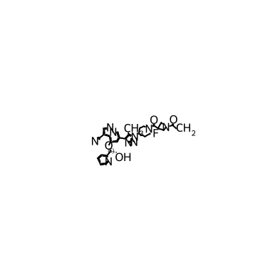 C=CC(=O)N1CC(F)(C(=O)N2CCC(n3nnc(-c4cc(O[C@H](CO)c5ccccn5)c5c(C#N)cnn5c4)c3C)CC2)C1